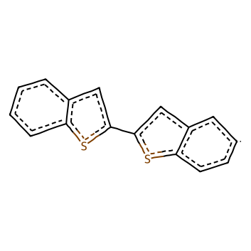 [c]1ccc2sc(-c3cc4ccccc4s3)cc2c1